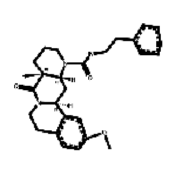 COc1ccc2c(c1)[C@@H]1C[C@@H]3[C@@H](CCCN3C(=O)NCCc3ccccc3)C(=O)N1CC2